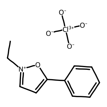 CC[n+]1ccc(-c2ccccc2)o1.[O-][Cl+3]([O-])([O-])[O-]